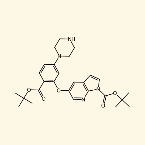 CC(C)(C)OC(=O)c1ccc(N2CCNCC2)cc1Oc1cnc2c(ccn2C(=O)OC(C)(C)C)c1